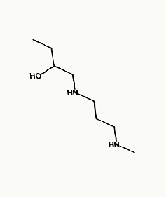 CCC(O)CNCCCNC